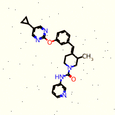 CC1CN(C(=O)Nc2cccnc2)CCC1=Cc1cccc(Oc2ncc(C3CC3)cn2)c1